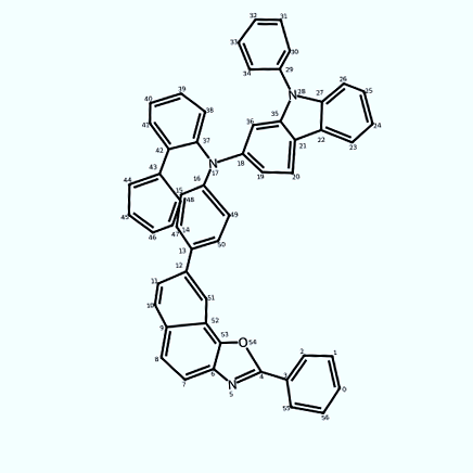 c1ccc(-c2nc3ccc4ccc(-c5ccc(N(c6ccc7c8ccccc8n(-c8ccccc8)c7c6)c6ccccc6-c6ccccc6)cc5)cc4c3o2)cc1